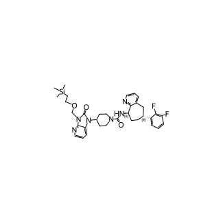 C[Si](C)(C)CCOCn1c(=O)n(C2CCN(C(=O)N[C@@H]3CC[C@@H](c4cccc(F)c4F)Cc4cccnc43)CC2)c2cccnc21